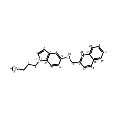 NCCCn1ccc2cc(OCc3ccc4ccccc4n3)ccc21